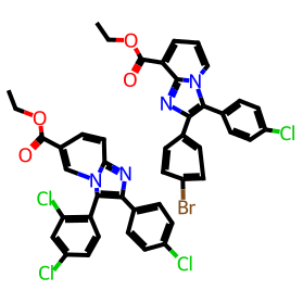 CCOC(=O)c1ccc2nc(-c3ccc(Cl)cc3)c(-c3ccc(Cl)cc3Cl)n2c1.CCOC(=O)c1cccn2c(-c3ccc(Cl)cc3)c(-c3ccc(Br)cc3)nc12